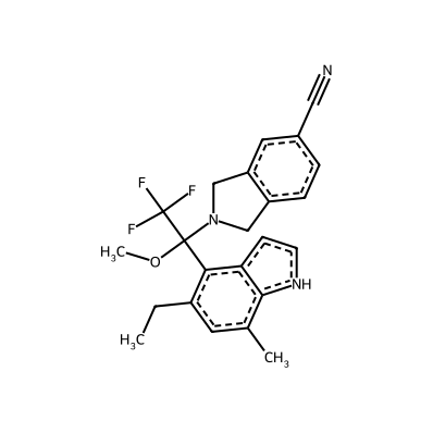 CCc1cc(C)c2[nH]ccc2c1C(OC)(N1Cc2ccc(C#N)cc2C1)C(F)(F)F